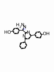 N/N=C(\c1ccc(O)cc1)c1nc(-c2ccccc2)cc(-c2ccc(O)cc2)n1